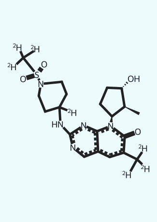 [2H]C1(Nc2ncc3cc(C([2H])([2H])[2H])c(=O)n([C@H]4CC[C@H](O)[C@H]4C)c3n2)CCN(S(=O)(=O)C([2H])([2H])[2H])CC1